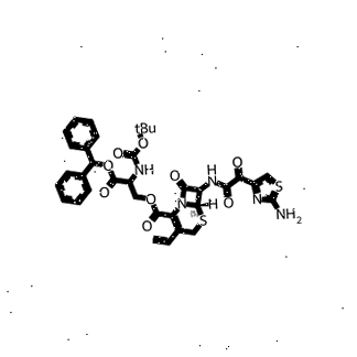 C=CC1=C(C(=O)OCC(NC(=O)OC(C)(C)C)C(=O)OC(c2ccccc2)c2ccccc2)N2C(=O)C(NC(=O)C(=O)c3csc(N)n3)[C@@H]2SC1